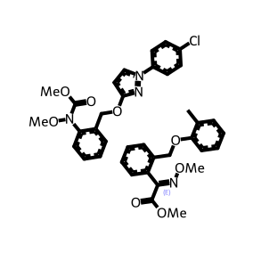 CO/N=C(/C(=O)OC)c1ccccc1COc1ccccc1C.COC(=O)N(OC)c1ccccc1COc1ccn(-c2ccc(Cl)cc2)n1